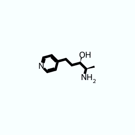 C[C@@H](N)[C@@H](O)CCc1ccncc1